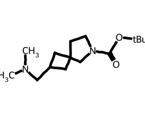 CN(C)CC1CC2(CCN(C(=O)OC(C)(C)C)C2)C1